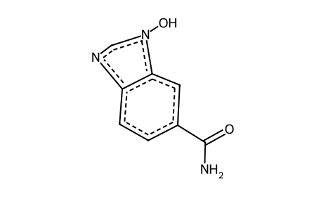 NC(=O)c1ccc2ncn(O)c2c1